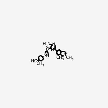 Cc1cc(-c2cnc(N)c(Oc3cnn([C@H]4CC[C@@](C)(O)CC4)c3)n2)cc2c1CN(C)CC2